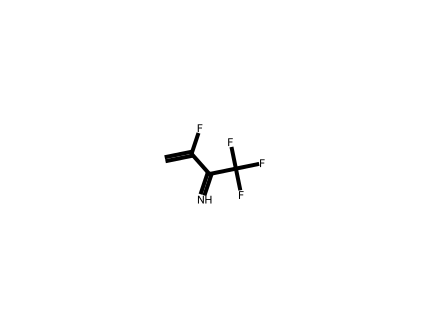 C=C(F)C(=N)C(F)(F)F